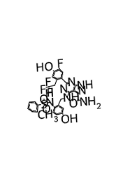 Cc1ccccc1S(=O)(=O)Nc1ccc(O)cc1CNc1nc(-c2cc(F)c(O)cc2CC(F)(F)F)nc2[nH]nc(C(N)=O)c12